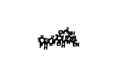 N#Cc1cc(Nc2nc(NC3CC3)c3ncc(C#N)n3n2)c(Cl)c(N2CCC(N[C@@H]3CCCC[C@H]3F)CC2)c1